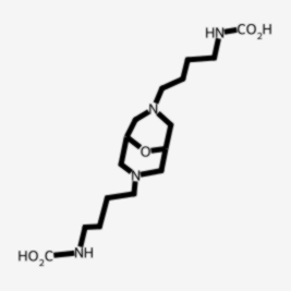 O=C(O)NCCCCN1CC2CN(CCCCNC(=O)O)CC(C1)O2